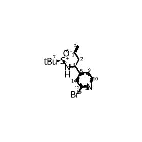 C=CC[C@H](N[S@+]([O-])C(C)(C)C)c1ccnc(Br)c1